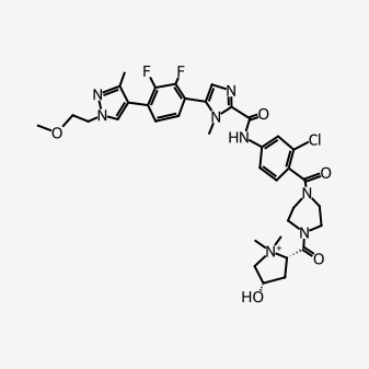 COCCn1cc(-c2ccc(-c3cnc(C(=O)Nc4ccc(C(=O)N5CCN(C(=O)[C@@H]6C[C@H](O)C[N+]6(C)C)CC5)c(Cl)c4)n3C)c(F)c2F)c(C)n1